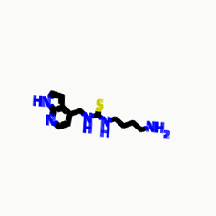 NCCCCNC(=S)NCc1ccnc2[nH]ccc12